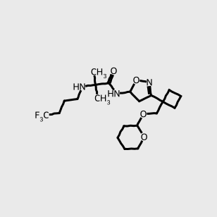 CC(C)(NCCCC(F)(F)F)C(=O)NC1CC(C2(COC3CCCCO3)CCC2)=NO1